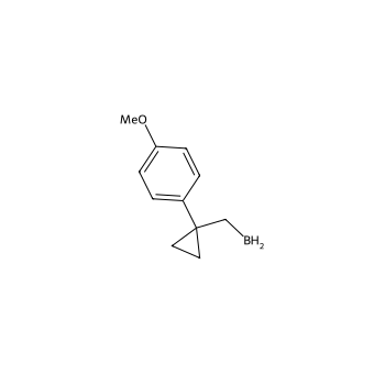 BCC1(c2ccc(OC)cc2)CC1